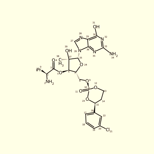 CC(C)[C@H](N)C(=O)O[C@@H]1[C@@H](CO[P@@]2(=O)OCC[C@@H](c3cccc(Cl)c3)O2)O[C@@H](n2cnc3c(O)nc(N)nc32)[C@]1(C)O